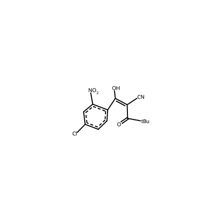 CC(C)(C)C(=O)C(C#N)=C(O)c1ccc(Cl)cc1[N+](=O)[O-]